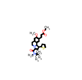 CCOC(=O)/C=C/c1cc2c(cc1OC)CCN1C(C(=O)N(C)C(C)(C)C)=CC(C3CC=CS3)C21